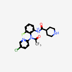 O=C(Nc1cccc(F)c1N(C(=O)C(F)(F)F)c1ccc(Cl)cn1)C1CCNCC1